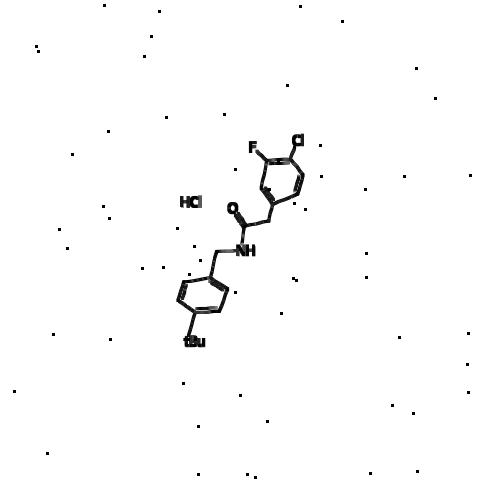 CC(C)(C)c1ccc(CNC(=O)Cc2ccc(Cl)c(F)c2)cc1.Cl